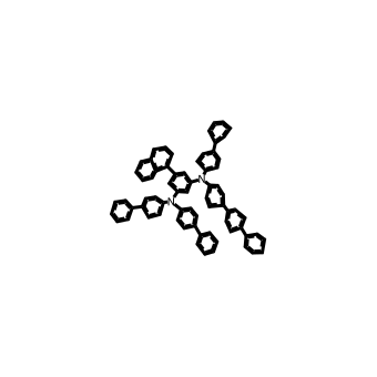 c1ccc(-c2ccc(-c3ccc(N(c4ccc(-c5ccccc5)cc4)c4cc(-c5cccc6ccccc56)cc(N(c5ccc(-c6ccccc6)cc5)c5ccc(-c6ccccc6)cc5)c4)cc3)cc2)cc1